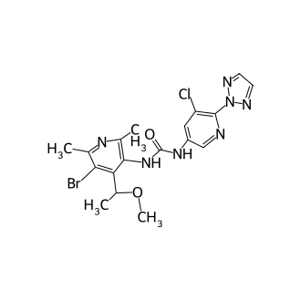 COC(C)c1c(Br)c(C)nc(C)c1NC(=O)Nc1cnc(-n2nccn2)c(Cl)c1